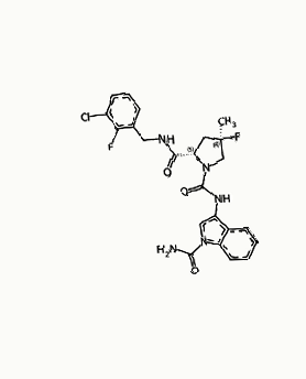 C[C@@]1(F)C[C@@H](C(=O)NCc2cccc(Cl)c2F)N(C(=O)Nc2cn(C(N)=O)c3ccccc23)C1